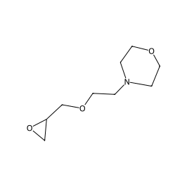 C1CN(CCOCC2CO2)CCO1